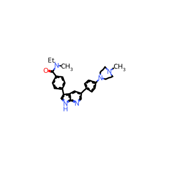 CCN(C)C(=O)c1ccc(-c2c[nH]c3ncc(-c4ccc(N5CCN(C)CC5)cc4)cc23)cc1